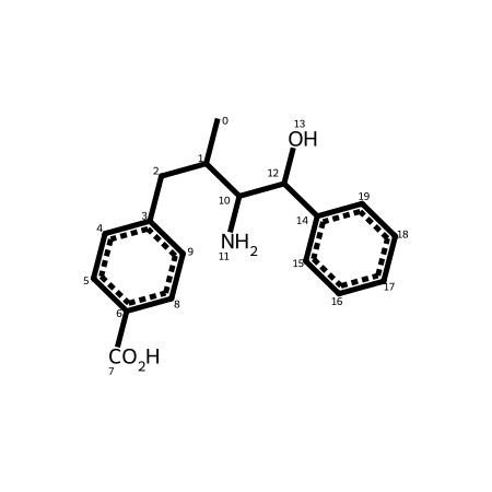 CC(Cc1ccc(C(=O)O)cc1)C(N)C(O)c1ccccc1